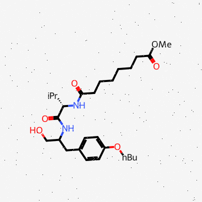 CCCCOc1ccc(CC(CO)NC(=O)[C@@H](NC(=O)CCCCCCC(=O)OC)C(C)C)cc1